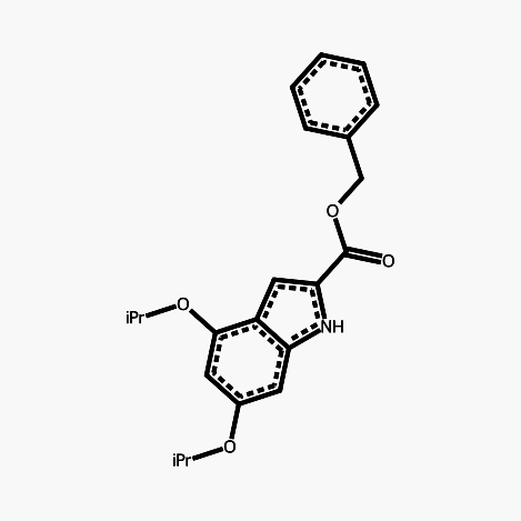 CC(C)Oc1cc(OC(C)C)c2cc(C(=O)OCc3ccccc3)[nH]c2c1